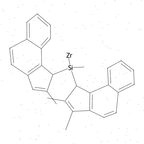 CC1=Cc2ccc3ccccc3c2C1[Si](C)([Zr])C1C(C)=C(C)c2ccc3ccccc3c21